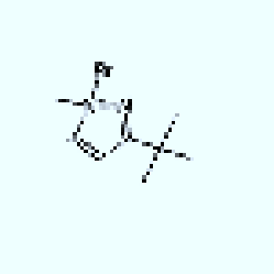 CC(C)(C)C1=N[N+](C)(Br)[C]=C1